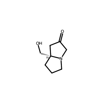 O=C1CN2CCC[C@@]2(CO)C1